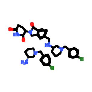 N[C@@H]1CCCN(Cc2ccc(Cl)cc2)C1.O=C1CCC(N2Cc3cc(CN[C@@H]4CCCN(Cc5ccc(Cl)cc5)C4)ccc3C2=O)C(=O)N1